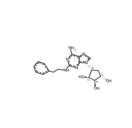 Nc1nc(NCCc2ccccc2)nc2c1ncn2[C@@H]1C[C@H](O)[C@@H](O)[C@H]1O